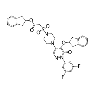 O=C(CS(=O)(=O)N1CCN(c2cnn(-c3cc(F)cc(F)c3)c(=O)c2OC2Cc3ccccc3C2)CC1)OC1Cc2ccccc2C1